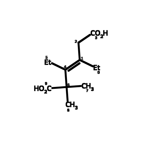 CC/C(CC(=O)O)=C(/CC)C(C)(C)C(=O)O